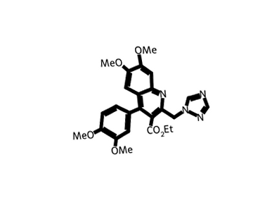 CCOC(=O)c1c(Cn2cncn2)nc2cc(OC)c(OC)cc2c1-c1ccc(OC)c(OC)c1